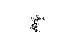 C[C@@H]([CH]C(=O)NNC(N)=O)CC(N)=O